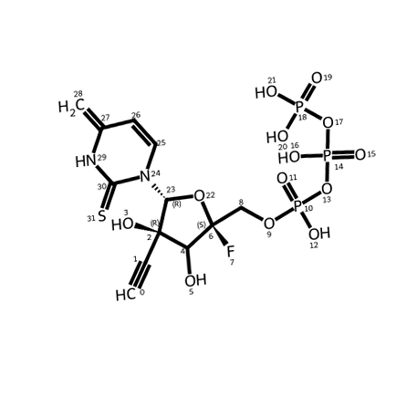 C#C[C@@]1(O)C(O)[C@@](F)(COP(=O)(O)OP(=O)(O)OP(=O)(O)O)O[C@H]1N1C=CC(=C)NC1=S